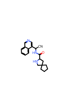 N#CC(NC(=O)C1CC2(CCCC2)CN1)c1cncc2ccccc12